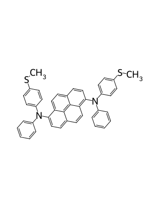 CSc1ccc(N(c2ccccc2)c2ccc3ccc4c(N(c5ccccc5)c5ccc(SC)cc5)ccc5ccc2c3c54)cc1